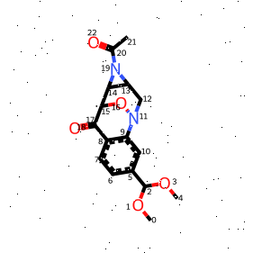 COC(OC)c1c[c]c2c(c1)N1CC3C([C](O1)C2=O)N3C(C)=O